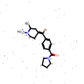 CC(C)(C)C1CC(=C(Br)c2ccc(C(=O)N3CCCC3)cc2)CCN1C(=O)O